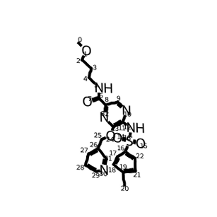 COCCCNC(=O)c1cnc(NS(=O)(=O)c2ccc(C)cc2)c(OCc2cccnc2)n1